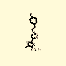 CCOC(=O)c1sc(-c2cn(CCc3ccc(F)cc3)nn2)nc1C